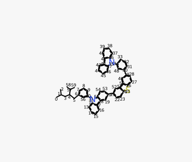 CC(C)CC(Cc1cccc(-n2c3ccccc3c3cc(-c4ccc5sc6ccc(-c7cccc(-n8c9ccccc9c9ccccc98)c7)cc6c5c4)ccc32)c1)C(C)C